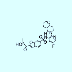 O=C(NO)c1cc2ccc(S(=O)(=O)Nc3cc(F)cnc3N3CCC4OCCCC4C3)cc2o1